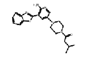 CC(C)CC(=O)N1CCN(c2cnc(N)c(-c3nc4ccccc4o3)c2)CC1